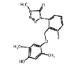 Cc1cc(OCc2c(F)cccc2-n2nnn(C)c2=O)c(C)cc1O